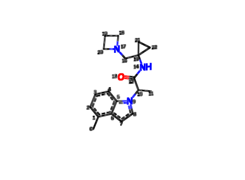 Cc1cccc2c1ccn2C(C)C(=O)NC1(CN2CCC2)CC1